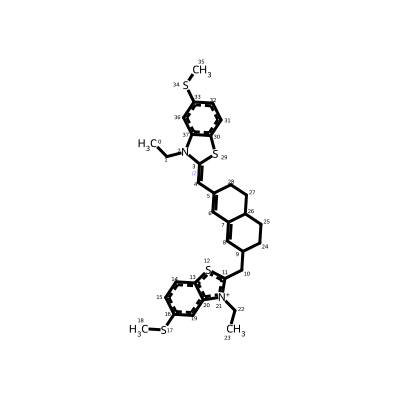 CCN1/C(=C/C2=CC3=CC(Cc4sc5ccc(SC)cc5[n+]4CC)CCC3CC2)Sc2ccc(SC)cc21